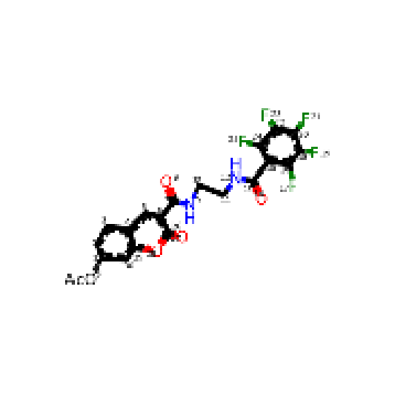 CC(=O)Oc1ccc2cc(C(=O)NCCNC(=O)c3c(F)c(F)c(F)c(F)c3F)c(=O)oc2c1